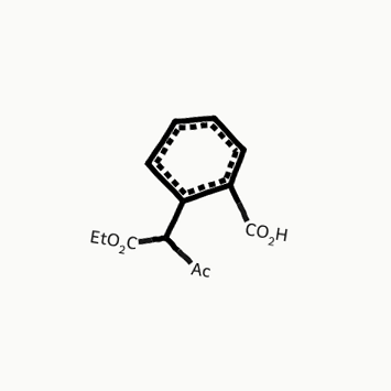 CCOC(=O)C(C(C)=O)c1ccccc1C(=O)O